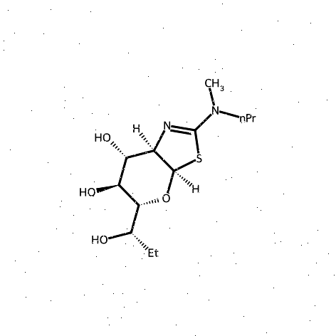 CCCN(C)C1=N[C@@H]2[C@@H](O)[C@H](O)[C@@H]([C@@H](O)CC)O[C@@H]2S1